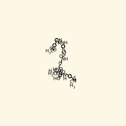 Cc1ncsc1-c1ccc(CNC(=O)C2C[C@@H](O)CN2C(=O)C(NC(=O)CCOCCNC(=O)CN2CCN(c3ccc(Nc4nc5cccc(-c6ccc(S(C)(=O)=O)cc6)n5n4)cc3)CC2)C(C)(C)C)cc1